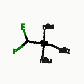 CCC[CH2][Sn]([CH2]CCC)([CH2]CCC)[CH](F)F